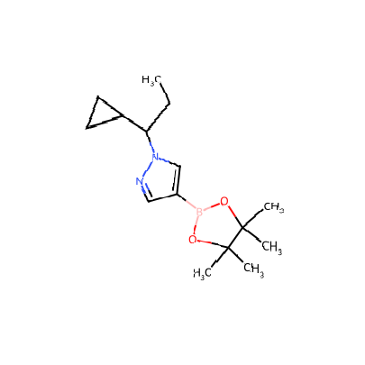 CCC(C1CC1)n1cc(B2OC(C)(C)C(C)(C)O2)cn1